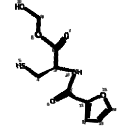 O=C(N[C@@H](CS)C(=O)OCO)c1ccco1